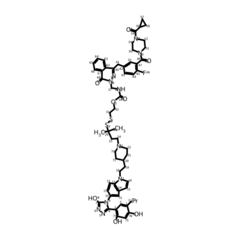 CC(C)c1cc(-c2nnc(O)n2-c2ccc3c(ccn3CCC3CCN(CCC(C)(C)SSCCOC(=O)NCn4nc(Cc5ccc(F)c(C(=O)N6CCN(C(=O)C7CC7)CC6)c5)c5ccccc5c4=O)CC3)c2)c(O)cc1O